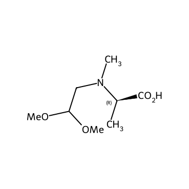 COC(CN(C)[C@H](C)C(=O)O)OC